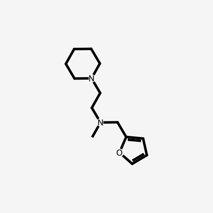 CN(CCN1CCCCC1)Cc1ccco1